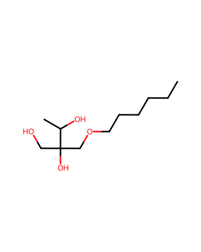 CCCCCCOCC(O)(CO)C(C)O